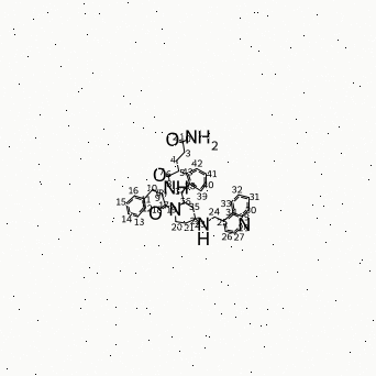 NC(=O)CCCC(=O)N[C@H](Cc1ccccc1)C(=O)N1CCC(NCc2ccnc3ccccc23)CC1Cc1ccccc1